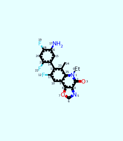 CCn1c(=O)c2ncoc2c2cc(F)c(-c3cc(N)c(F)cc3F)c(C)c21